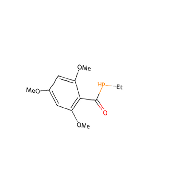 CCPC(=O)c1c(OC)cc(OC)cc1OC